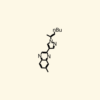 CCCC/C=C(\C)n1cc(-c2cnc3ccc(C)cc3n2)cn1